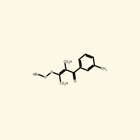 CCCCOO/C(C(=O)O)=C(\C(=O)O)C(=O)c1cccc(C)c1